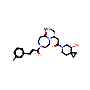 COC[C@@H](CC(=O)N1CCC2(CC2)[C@H](O)C1)N1CCN(C(=O)/C=C/c2cccc(Cl)c2)CCC1=O